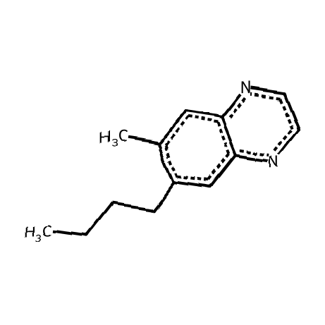 CCCCc1cc2nccnc2cc1C